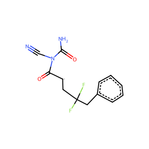 N#CN(C(N)=O)C(=O)[CH]CC(F)(F)Cc1ccccc1